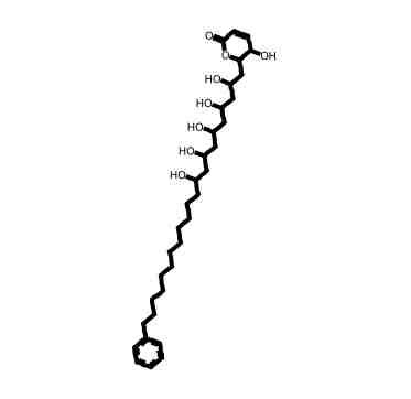 O=C1C=CC(O)C(CC(O)CC(O)CC(O)CC(O)CC(O)CCCCCCCCCCCCc2ccccc2)O1